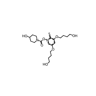 O=C(On1cc(OCCCCO)cc(OCCCCO)c1=S)N1CCC(O)CC1